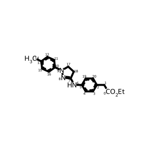 CCOC(=O)Cc1ccc(NC2=NN(c3ccc(C)cc3)CC2)cc1